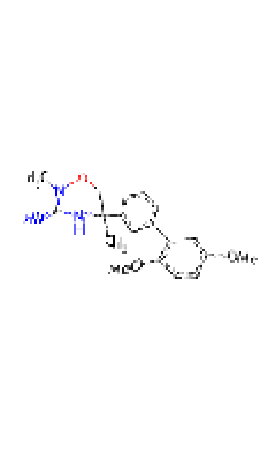 COc1ccc(OC)c(-c2cccc(C3(C)CON(C)C(=N)N3)c2)c1